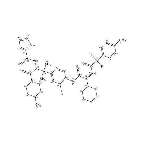 COc1ccc(C(F)(F)C(=O)N[C@H](C(=O)Nc2ccc(C(C)(C)[C@@H](NC(=O)c3cnns3)C(=O)N3CCN(C)CC3)cc2F)C2CCCCC2)cn1